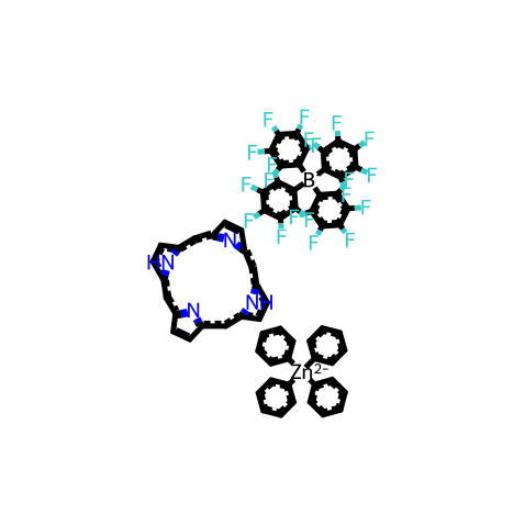 C1=Cc2cc3ccc(cc4nc(cc5ccc(cc1n2)[nH]5)C=C4)[nH]3.Fc1c(F)c(F)c([B-](c2c(F)c(F)c(F)c(F)c2F)(c2c(F)c(F)c(F)c(F)c2F)c2c(F)c(F)c(F)c(F)c2F)c(F)c1F.c1cc[c]([Zn-2]([c]2ccccc2)([c]2ccccc2)[c]2ccccc2)cc1